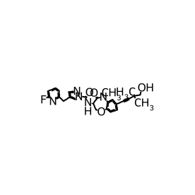 CN1C(=O)[C@@H](NC(=O)n2cc(Cc3cccc(F)n3)cn2)COc2ccc(C#CC(C)(C)CO)cc21